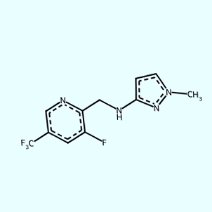 Cn1ccc(NCc2ncc(C(F)(F)F)cc2F)n1